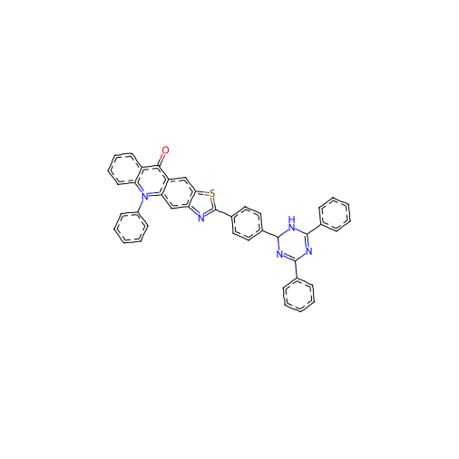 O=c1c2ccccc2n(-c2ccccc2)c2cc3nc(-c4ccc(C5N=C(c6ccccc6)N=C(c6ccccc6)N5)cc4)sc3cc12